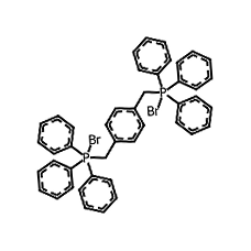 BrP(Cc1ccc(CP(Br)(c2ccccc2)(c2ccccc2)c2ccccc2)cc1)(c1ccccc1)(c1ccccc1)c1ccccc1